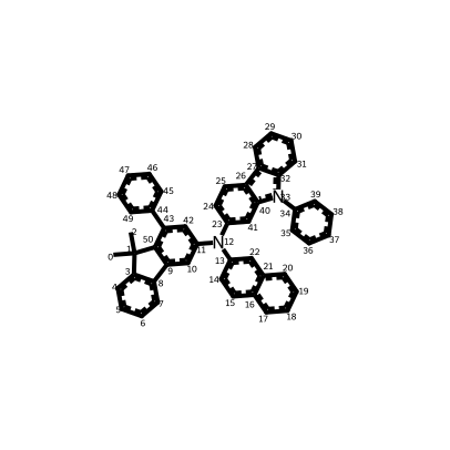 CC1(C)c2ccccc2-c2cc(N(c3ccc4ccccc4c3)c3ccc4c5ccccc5n(-c5ccccc5)c4c3)cc(-c3ccccc3)c21